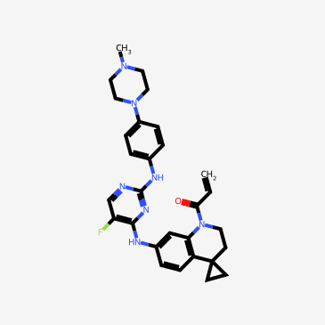 C=CC(=O)N1CCC2(CC2)c2ccc(Nc3nc(Nc4ccc(N5CCN(C)CC5)cc4)ncc3F)cc21